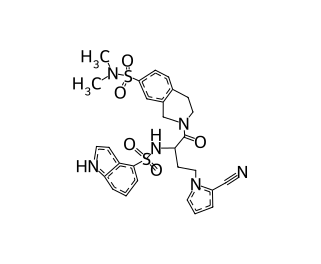 CN(C)S(=O)(=O)c1ccc2c(c1)CN(C(=O)C(CCn1cccc1C#N)NS(=O)(=O)c1cccc3[nH]ccc13)CC2